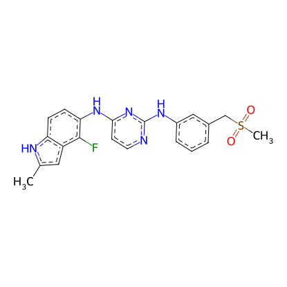 Cc1cc2c(F)c(Nc3ccnc(Nc4cccc(CS(C)(=O)=O)c4)n3)ccc2[nH]1